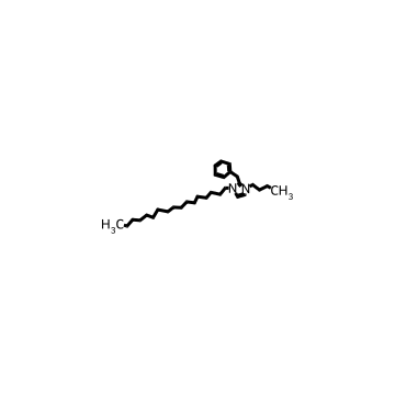 CCCCCCCCCCCCCCCCC[n+]1ccn(CCCC)c1Cc1ccccc1